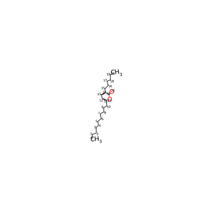 CCCCCCCCCCCc1ccc(CCCCCC)c(=O)o1